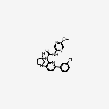 COc1cnc(NC(=O)N2c3nc(-c4cccc(Cl)c4)ccc3N3CC[C@H]2C3)cn1